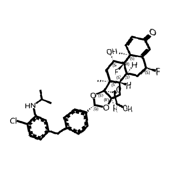 CC(C)Nc1cc(Cc2ccc([C@H]3O[C@@H]4C[C@H]5[C@@H]6C[C@H](F)C7=CC(=O)C=C[C@]7(C)[C@@]6(F)[C@@H](O)C[C@]5(C)[C@]4(C(=O)CO)O3)cc2)ccc1Cl